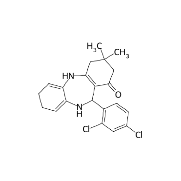 CC1(C)CC(=O)C2=C(C1)NC1=CCCC=C1NC2c1ccc(Cl)cc1Cl